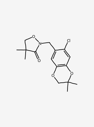 CC1(C)COc2cc(CN3OCC(C)(C)C3=O)c(Cl)cc2O1